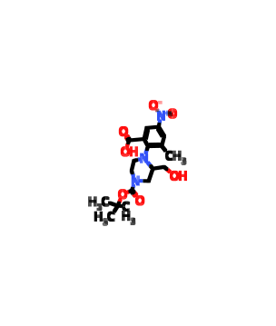 Cc1cc([N+](=O)[O-])cc(C(=O)O)c1N1CCN(C(=O)OC(C)(C)C)CC1CO